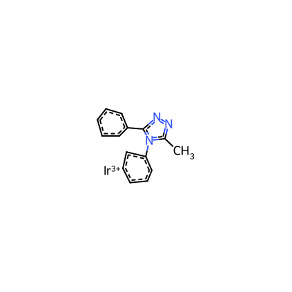 Cc1nnc(-c2ccccc2)n1-c1ccccc1.[Ir+3]